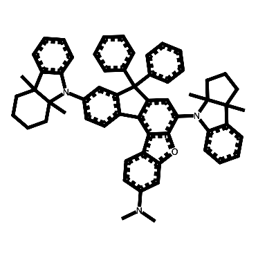 CN(C)c1ccc2c(c1)oc1c(N3c4ccccc4C4(C)CCCC34C)cc3c(c12)-c1ccc(N2c4ccccc4C4(C)CCCCC24C)cc1C3(c1ccccc1)c1ccccc1